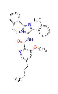 CCCCc1cnc(C(=O)Nc2c(-c3ccccc3C)nc3c4ccccc4ccn23)c(OC)c1